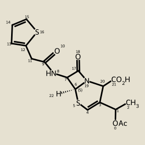 CC(=O)OC(C)C1=CS[C@H]2C(NC(=O)Cc3cccs3)C(=O)N2C1C(=O)O